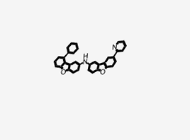 c1ccc(-c2cccc3oc4ccc(Nc5ccc6oc7ccc(-c8ccccn8)cc7c6c5)cc4c23)cc1